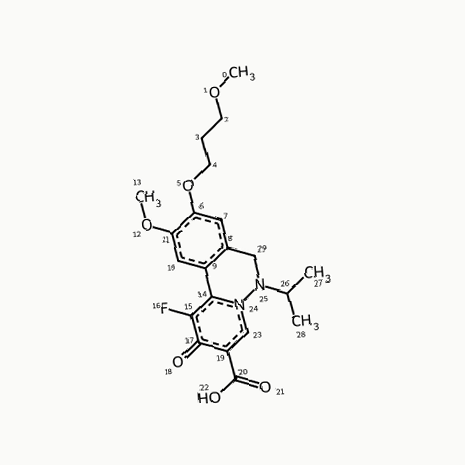 COCCCOc1cc2c(cc1OC)-c1c(F)c(=O)c(C(=O)O)cn1N(C(C)C)C2